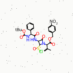 C=C(C)C(C(=O)OCc1ccc([N+](=O)[O-])cc1)N1C(=O)C(NC(=O)C(NC(=O)OC(C)(C)C)c2ccccc2)C1[S+]([O-])Cl